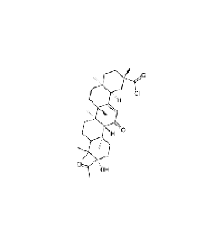 CC(=O)[C@]1(O)CC[C@@]2(C)C(CC[C@]3(C)[C@@H]2C(=O)C=C2[C@@H]4C[C@@](C)(C(=O)Cl)CC[C@]4(C)CC[C@]23C)C1(C)C